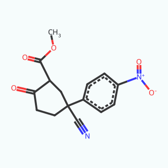 COC(=O)C1CC(C#N)(c2ccc([N+](=O)[O-])cc2)CCC1=O